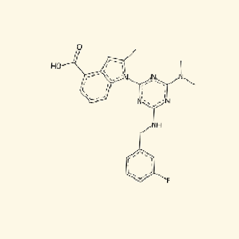 Cc1cc2c(C(=O)O)cccc2n1-c1nc(NCc2cccc(F)c2)nc(N(C)C)n1